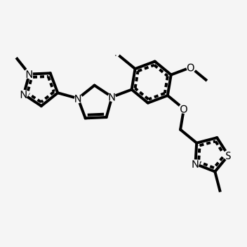 [CH2]c1cc(OC)c(OCc2csc(C)n2)cc1N1C=CN(c2cnn(C)c2)C1